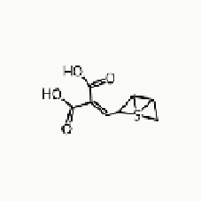 O=C(O)C(=CC1C2C3CS132)C(=O)O